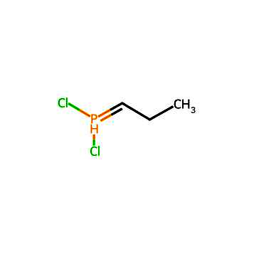 CCC=[PH](Cl)Cl